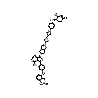 COc1cccc(Oc2ccc(-c3nn(C4CC5CN(C6CN(C7CN(c8ccc(NC9CCC(=O)NC9=O)cc8)C7)C6)CC5C4)c4ncnc(N)c34)cc2)c1F